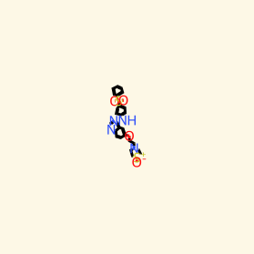 O=S(=O)(c1ccccc1)c1ccc(Nc2ncnc3ccc(OCCN4CC[S+]([O-])CC4)cc23)cc1